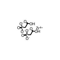 O=C(O)CP(=O)([O-])[O-].O=C(O)CP(=O)([O-])[O-].[Zr+4]